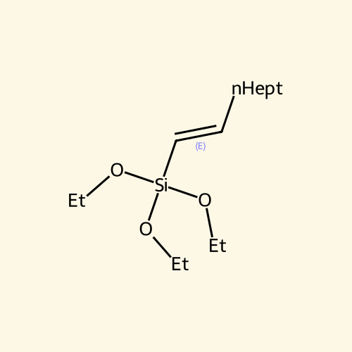 CCCCCCC/C=C/[Si](OCC)(OCC)OCC